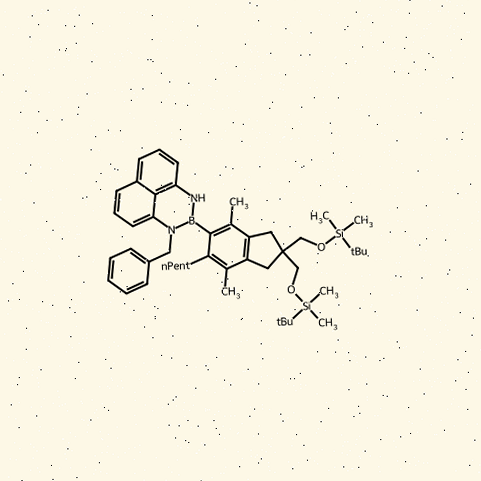 CCCCCc1c(C)c2c(c(C)c1B1Nc3cccc4cccc(c34)N1Cc1ccccc1)CC(CO[Si](C)(C)C(C)(C)C)(CO[Si](C)(C)C(C)(C)C)C2